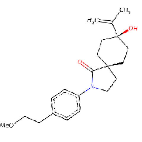 C=C(C)[C@]1(O)CC[C@]2(CCN(c3ccc(CCOC)cc3)C2=O)CC1